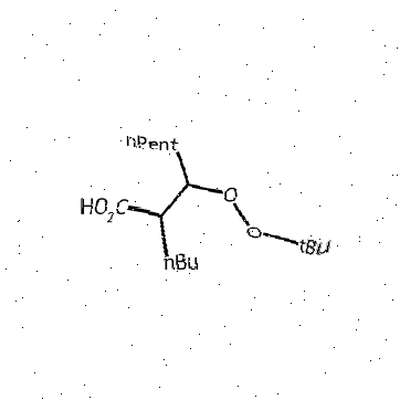 CCCCCC(OOC(C)(C)C)C(CCCC)C(=O)O